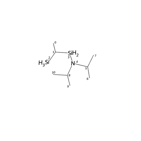 CC([SiH3])[SiH2]N(C(C)C)C(C)C